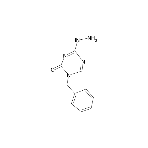 NNc1ncn(Cc2ccccc2)c(=O)n1